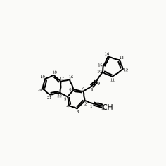 C#Cc1ccc2c(c1C#Cc1ccccc1)Cc1ccccc1-2